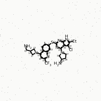 CCc1[nH]c2nc(Sc3ccc4c(N5CC(CN)C5)cc(C(F)(F)F)nc4c3)nc(N3CCC(N)C3)c2c1Cl